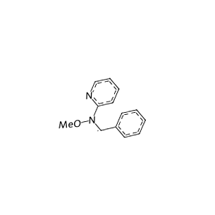 CON([CH]c1ccccc1)c1ccccn1